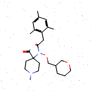 COC(=O)C1(N(OCC2CCCOC2)C(=O)Cc2c(C)cc(C)cc2C)CCN(OC)CC1